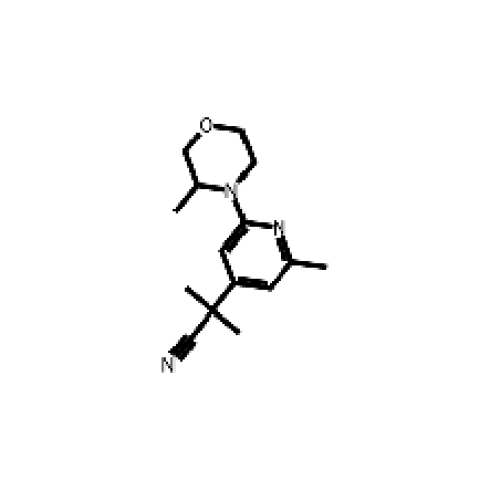 Cc1cc(C(C)(C)C#N)cc(N2CCOCC2C)n1